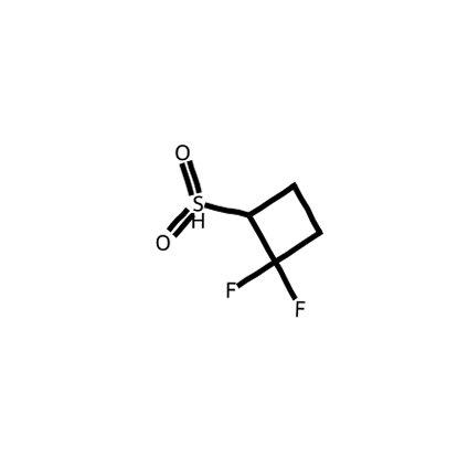 O=[SH](=O)C1CCC1(F)F